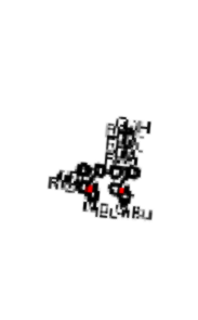 CCCCOc1ccc(C[P+](c2ccccc2)(c2ccccc2)c2ccccc2)cc1.CCCCOc1ccc(C[P+](c2ccccc2)(c2ccccc2)c2ccccc2)cc1.[O]=[Mn](=[O])([O-])[Br].[O]=[Mn](=[O])([O-])[Br].[O]=[Mn](=[O])([OH])[Br].[O]=[Mn](=[O])([OH])[Br]